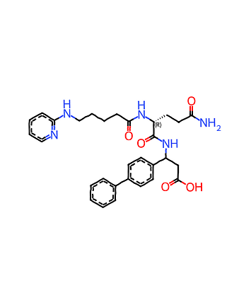 NC(=O)CC[C@@H](NC(=O)CCCCNc1ccccn1)C(=O)NC(CC(=O)O)c1ccc(-c2ccccc2)cc1